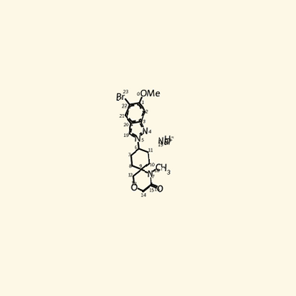 COc1cc2nn(C3CCC4(CC3)COCC(=O)N4C)cc2cc1Br.[H-].[Na+]